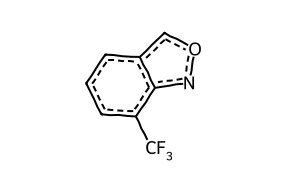 FC(F)(F)c1cccc2conc12